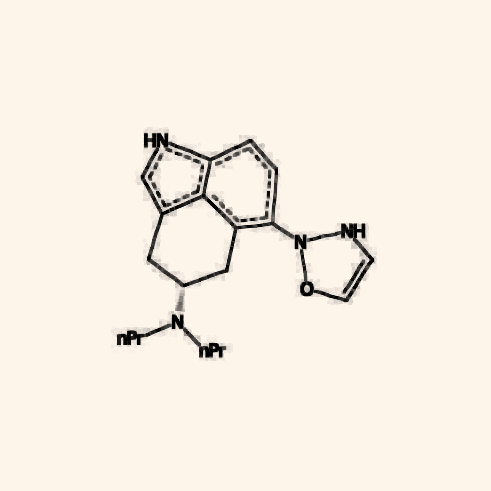 CCCN(CCC)[C@@H]1Cc2c[nH]c3ccc(N4NC=CO4)c(c23)C1